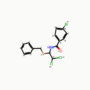 O=C(NC(SCc1ccccc1)C(Cl)Cl)c1ccc(Br)cc1